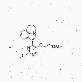 COCCOc1cnc(Cl)nc1-c1cn2c3c(cccc13)CCC2